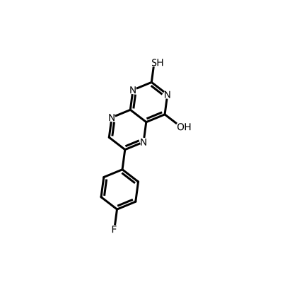 Oc1nc(S)nc2ncc(-c3ccc(F)cc3)nc12